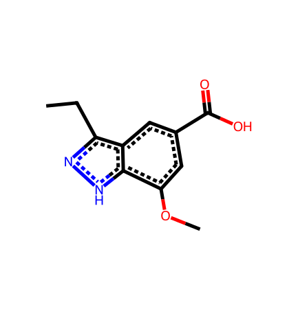 CCc1n[nH]c2c(OC)cc(C(=O)O)cc12